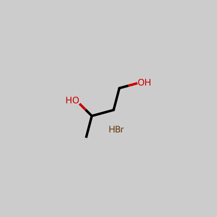 Br.CC(O)CCO